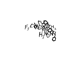 Cc1cc2cn(Cc3ccccc3)nc2c(C(N)=O)c1NC(=O)c1cc(Cn2cc(C(F)(F)F)nn2)nn1-c1ncccc1Cl